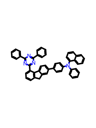 c1ccc(-c2nc(-c3ccccc3)nc(-c3cccc4c3-c3ccc(-c5ccc(N(c6ccccc6)c6cccc7ccccc67)cc5)cc3C4)n2)cc1